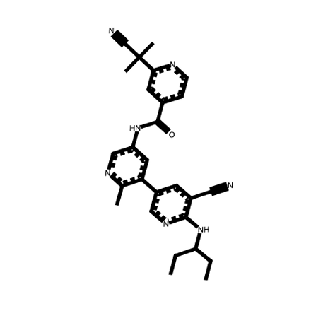 CCC(CC)Nc1ncc(-c2cc(NC(=O)c3ccnc(C(C)(C)C#N)c3)cnc2C)cc1C#N